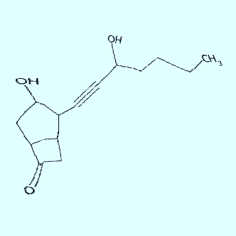 CCCCC(O)C#CC1C(O)CC2C(=O)CC21